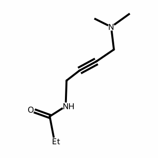 CCC(=O)NCC#CCN(C)C